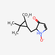 CC1(C)C(CC2C(=O)C=C[NH+]2[O-])C1C(=O)O